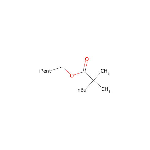 CCCCC(C)(C)C(=O)OCC(C)CCC